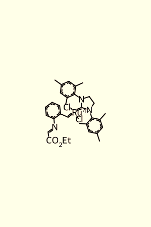 CCOC(=O)C=Nc1ccccc1[CH]=[Ru-4]([Cl])([Cl])=[C]1N(c2c(C)cc(C)cc2C)CCN1c1c(C)cc(C)cc1C